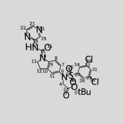 CC(C)(C)OC(=O)CN(c1ccc2c(c1)CCN2C(=O)Nc1cnccn1)S(=O)(=O)c1cc(Cl)cc(Cl)c1